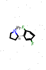 CC(C)N1CCC[C@H]1c1cc(F)ccc1F